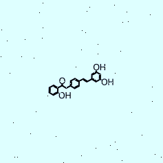 O=C(Cc1ccc(/C=C/c2cc(O)cc(O)c2)cc1)c1ccccc1O